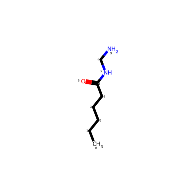 CCCCCC(=O)NCN